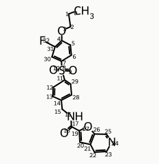 CCCOc1ccc(S(=O)(=O)c2ccc(CNC(=O)c3cc4ccncc4o3)cc2)cc1F